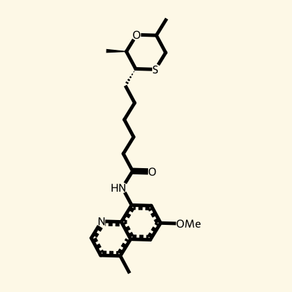 COc1cc(NC(=O)CCCCC[C@H]2SCC(C)O[C@@H]2C)c2nccc(C)c2c1